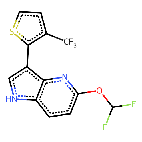 FC(F)Oc1ccc2[nH]cc(-c3sccc3C(F)(F)F)c2n1